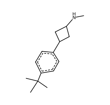 CNC1CC(c2ccc(C(C)(C)C)cc2)C1